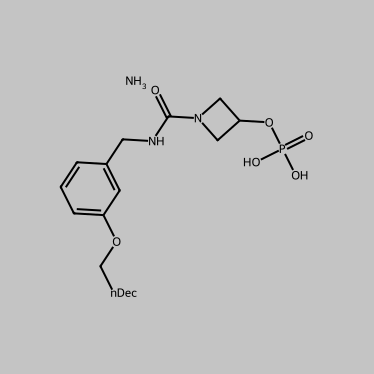 CCCCCCCCCCCOc1cccc(CNC(=O)N2CC(OP(=O)(O)O)C2)c1.N